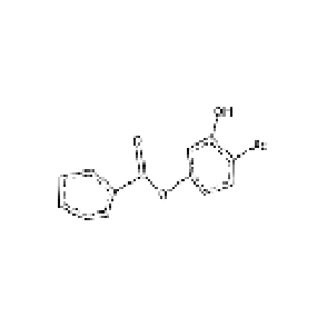 CC(=O)c1ccc(OC(=O)c2ccccc2)cc1O